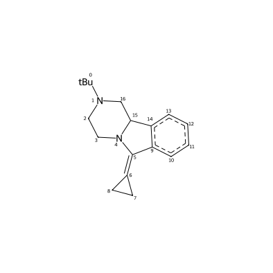 CC(C)(C)N1CCN2C(=C3CC3)c3ccccc3C2C1